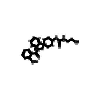 COc1ccccc1C(=O)NCC1(c2ccccc2)CCC(OC(=O)NCCO)CC1